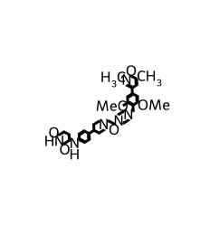 COc1cc(-c2cc(C)c(=O)n(C)c2)cc(OC)c1CN1CCN(C(=O)CN2CCC(c3ccc(NC4CCC(=O)NC4=O)cc3)CC2)CC1